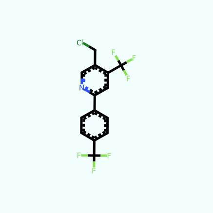 FC(F)(F)c1ccc(-c2cc(C(F)(F)F)c(CCl)cn2)cc1